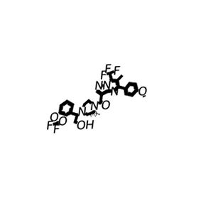 COc1ccc(-c2nc3c(C(=O)N4CCN(C(CO)c5cccc6c5OC(F)(F)O6)C[C@H]4C)cnn3c(C(F)(F)F)c2C)cc1